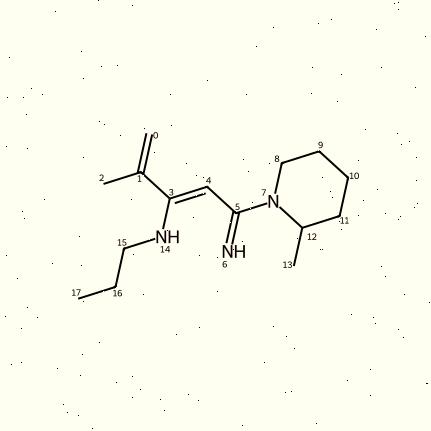 C=C(C)/C(=C/C(=N)N1CCCCC1C)NCCC